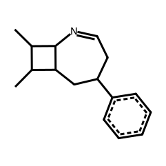 CC1C(C)C2N=CCC(c3ccccc3)CC12